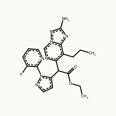 CCCc1c(C(C(=O)OCC)c2ccnn2-c2ncccc2F)ncn2nc(N)nc12